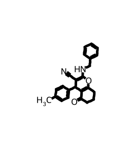 Cc1ccc(C2C(C#N)=C(NCc3ccccc3)OC3=C2C(=O)CCC3)cc1